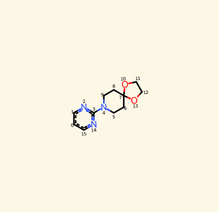 c1cnc(N2CCC3(CC2)OCCO3)nc1